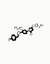 Cc1cc(N2CC(C(=O)O)CC2=O)ccc1OCc1ccc(F)cc1